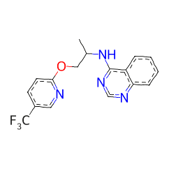 CC(COc1ccc(C(F)(F)F)cn1)Nc1ncnc2ccccc12